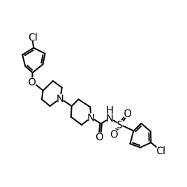 O=C(NS(=O)(=O)c1ccc(Cl)cc1)N1CCC(N2CCC(Oc3ccc(Cl)cc3)CC2)CC1